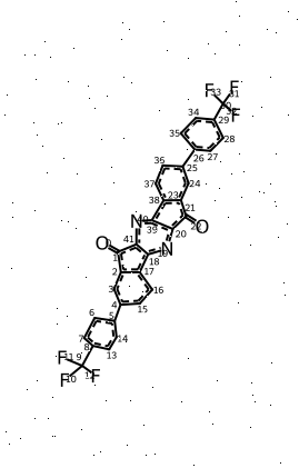 O=c1c2cc(-c3ccc(C(F)(F)F)cc3)ccc2c2nc3c(=O)c4cc(-c5ccc(C(F)(F)F)cc5)ccc4c3nc12